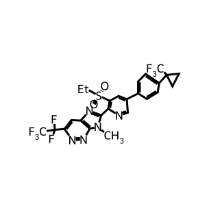 CCS(=O)(=O)c1cc(-c2ccc(C3(C(F)(F)F)CC3)cc2)cnc1-c1nc2cc(C(F)(F)C(F)(F)F)nnc2n1C